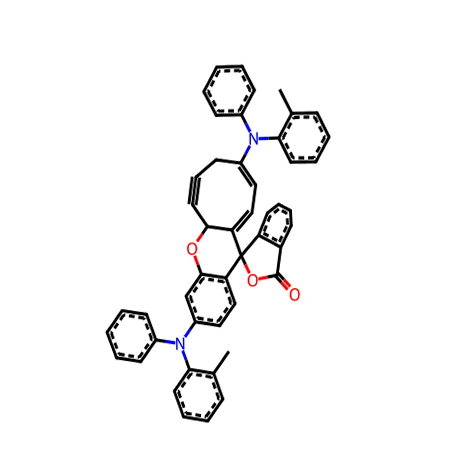 Cc1ccccc1N(/C1=C/C=C2\C(C#CC1)Oc1cc(N(c3ccccc3)c3ccccc3C)ccc1C21OC(=O)c2ccccc21)c1ccccc1